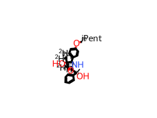 [2H]C([2H])([2H])C(O)([C@H](NC(=O)[C@](C)(O)c1ccccc1)c1ccc(OC[C@H](C)CCC)cc1)C([2H])([2H])[2H]